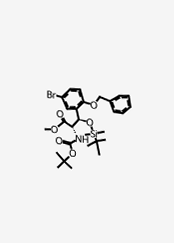 COC(=O)[C@@H](NC(=O)OC(C)(C)C)[C@H](O[Si](C)(C)C(C)(C)C)c1cc(Br)ccc1OCc1ccccc1